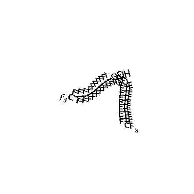 O=P(O)(OC(F)(F)C(F)(F)C(F)(F)C(F)(F)C(F)(F)C(F)(F)C(F)(F)C(F)(F)C(F)(F)C(F)(F)C(F)(F)F)OC(F)(F)C(F)(F)C(F)(F)C(F)(F)C(F)(F)C(F)(F)C(F)(F)C(F)(F)C(F)(F)C(F)(F)C(F)(F)F